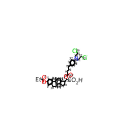 CCC(=O)Oc1ccc2c(c1)CC[C@@H]1[C@@H]2CC[C@]2(C)[C@@H](C(OC(=O)CCCc3ccc(N(CCCl)CCCl)cc3)C(=O)O)CC[C@@H]12